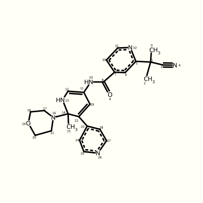 CC(C)(C#N)c1cc(C(=O)NC2=CNC(C)(N3CCOCC3)C(c3ccncc3)=C2)ccn1